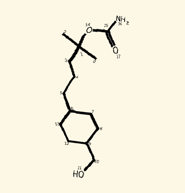 CC(C)(CCCC1CCC(CO)CC1)OC(N)=O